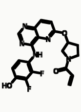 C=CC(=O)N1CCC(Oc2ccc3ncnc(Nc4ccc(O)c(F)c4F)c3n2)C1